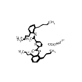 CCCCc1cccc(CCCC)c1N=C(C)c1cccc(C(C)=Nc2c(CCCC)cccc2CCCC)n1.[Cl-].[Cl-].[Cl-].[Nd+3]